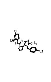 Cc1nnc(C2CCCN2C(=O)Nc2ccc(Cl)cc2C#N)n1Cc1ccc(Cl)cc1